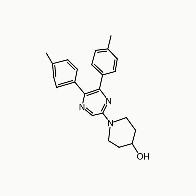 Cc1ccc(-c2ncc(N3CCC(O)CC3)nc2-c2ccc(C)cc2)cc1